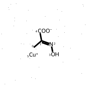 CC(=NO)C(=O)[O-].[Cu+]